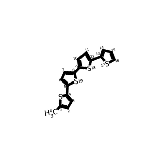 Cc1ccc(-c2ccc(-c3ccc(-c4cccs4)s3)s2)s1